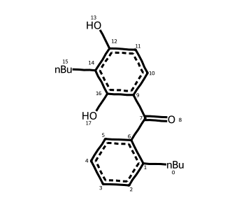 CCCCc1ccccc1C(=O)c1ccc(O)c(CCCC)c1O